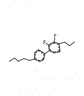 CCCCCc1ccc(-c2ccc(CCC)c(F)c2F)cc1